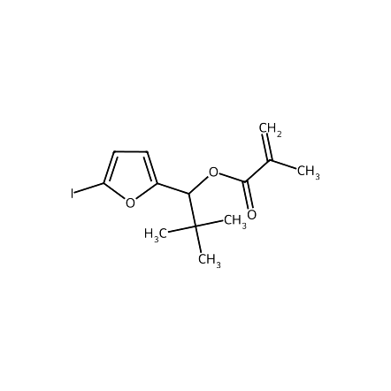 C=C(C)C(=O)OC(c1ccc(I)o1)C(C)(C)C